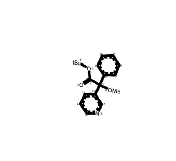 COC(C(=O)OC(C)(C)C)(c1ccccc1)c1cccnc1